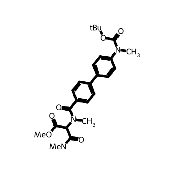 CNC(=O)C(C(=O)OC)N(C)C(=O)c1ccc(-c2ccc(N(C)C(=O)OC(C)(C)C)cc2)cc1